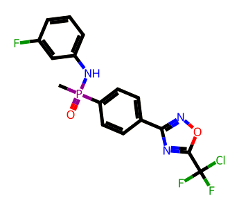 CP(=O)(Nc1cccc(F)c1)c1ccc(-c2noc(C(F)(F)Cl)n2)cc1